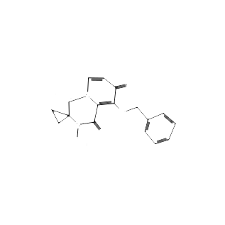 C[C@@H]1n2ccc(=O)c(OCc3ccccc3)c2C(=O)N(C)C12CC2